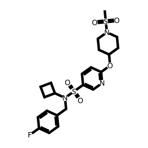 CS(=O)(=O)N1CCC(Oc2ccc(S(=O)(=O)N(Cc3ccc(F)cc3)C3CCC3)cn2)CC1